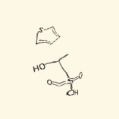 CC(O)S(=O)(=O)O.c1ccsc1